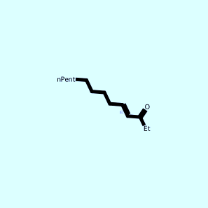 [CH2]CC(=O)/C=C/CCCCCCCCC